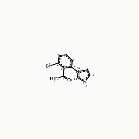 NC(=O)c1c(Br)cccc1-n1ccnc1